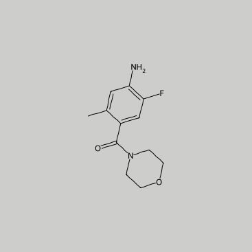 Cc1cc(N)c(F)cc1C(=O)N1CCOCC1